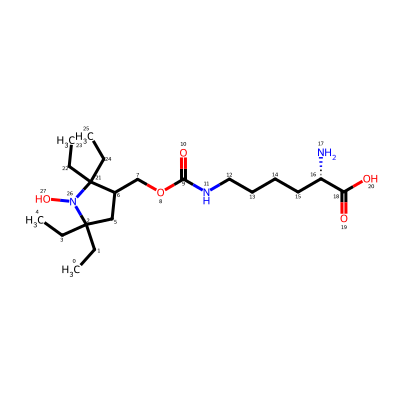 CCC1(CC)CC(COC(=O)NCCCC[C@H](N)C(=O)O)C(CC)(CC)N1O